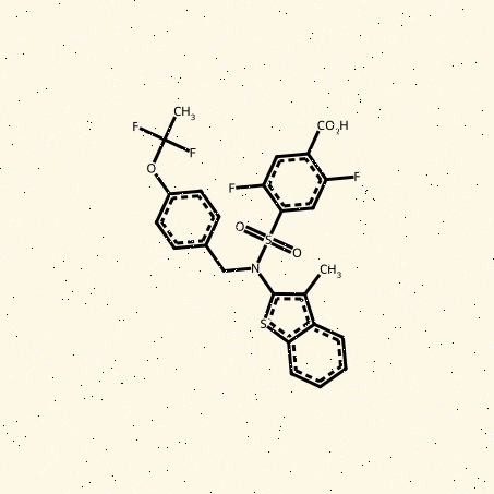 Cc1c(N(Cc2ccc(OC(C)(F)F)cc2)S(=O)(=O)c2cc(F)c(C(=O)O)cc2F)sc2ccccc12